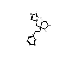 c1ccc(CCC2(Cn3ccnn3)OCCO2)cc1